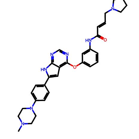 CN1CCN(c2ccc(-c3cc4c(Oc5cccc(NC(=O)C=CCN6CCCC6)c5)ncnc4[nH]3)cc2)CC1